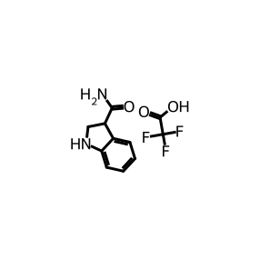 NC(=O)C1CNc2ccccc21.O=C(O)C(F)(F)F